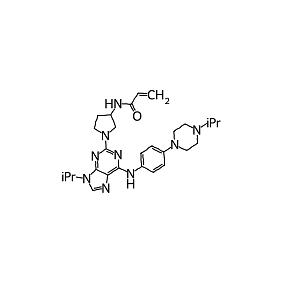 C=CC(=O)NC1CCN(c2nc(Nc3ccc(N4CCN(C(C)C)CC4)cc3)c3ncn(C(C)C)c3n2)C1